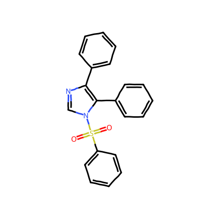 O=S(=O)(c1ccccc1)n1cnc(-c2ccccc2)c1-c1ccccc1